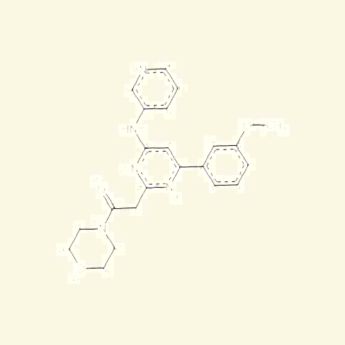 COc1cccc(-c2cc(Nc3cccnc3)nc(CC(=O)N3CCOCC3)n2)c1